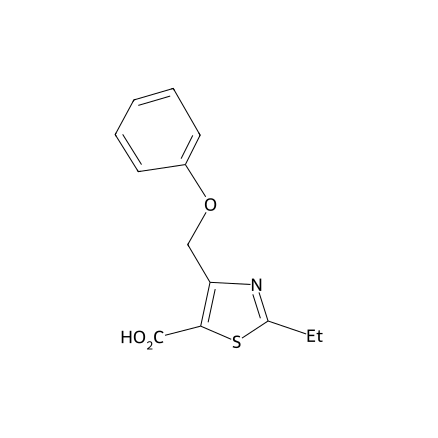 CCc1nc(COc2ccccc2)c(C(=O)O)s1